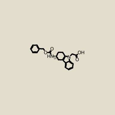 O=C(O)Cn1c2c(c3ccccc31)C[C@@H](NC(=O)OCc1ccccc1)CC2